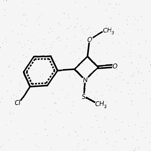 COC1C(=O)N(SC)C1c1cccc(Cl)c1